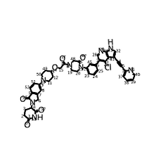 O=C1CCC(N2Cc3cc(N4CCC(OCC(=O)N5CCN(c6cccc(-c7cnc8[nH]cc(C#Cc9ccccn9)c8c7Cl)c6)C(=O)C5)CC4)ccc3C2=O)C(=O)N1